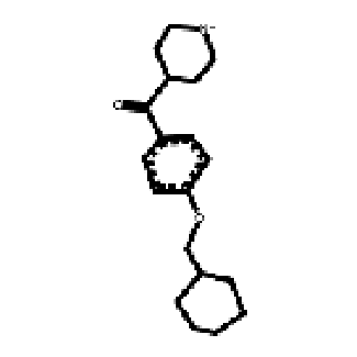 O=C(c1ccc(OCC2CCCCC2)cc1)C1CCNCC1